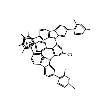 Cc1ccc(-c2ccc3c4ccc(-c5ccc(C)cc5C)cc4n(-c4cc(C#N)cc(-n5c6cc(-c7ccc(C)cc7C)ccc6c6ccc(-c7ccc(C)cc7C)cc65)c4-c4ccc(C#N)cc4C(F)(F)F)c3c2)c(C)c1